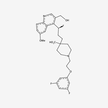 COc1ccc2ncc(CO)c([C@@H](F)CCC3(C(=O)O)CCN(CCOc4cc(F)cc(F)c4)CC3)c2c1